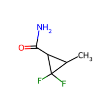 CC1C(C(N)=O)C1(F)F